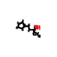 C=C(O)CCC1CCCC1